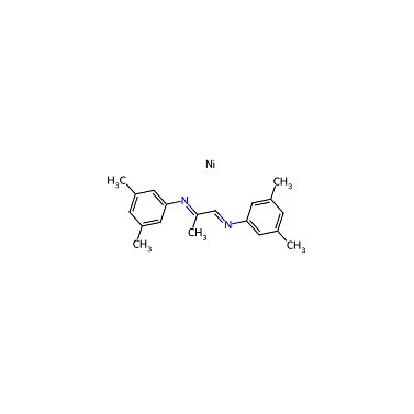 CC(/C=N/c1cc(C)cc(C)c1)=N\c1cc(C)cc(C)c1.[Ni]